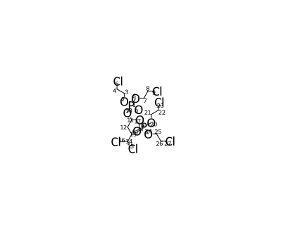 O=P(OCCCl)(OCCCl)OC(CCC(Cl)Cl)OP(=O)(OCCCl)OCCCl